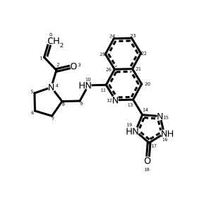 C=CC(=O)N1CCCC1CNc1nc(-c2n[nH]c(=O)[nH]2)cc2ccccc12